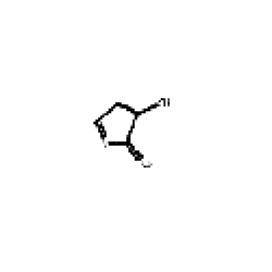 CC1CC=NC1=O